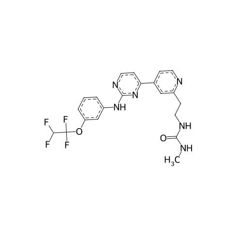 CNC(=O)NCCc1cc(-c2ccnc(Nc3cccc(OC(F)(F)C(F)F)c3)n2)ccn1